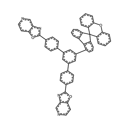 c1ccc2c(c1)Oc1ccccc1C21c2ccccc2-c2c(-c3cc(-c4ccc(-c5nc6cnccc6o5)cc4)cc(-c4ccc(-c5nc6cnccc6o5)cc4)c3)cccc21